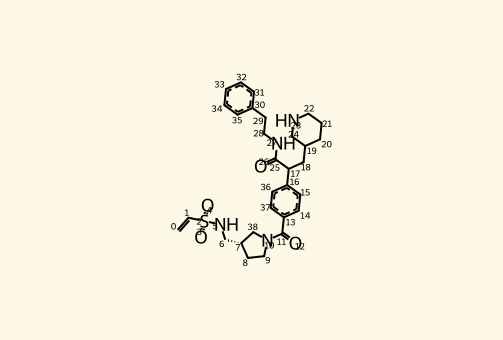 C=CS(=O)(=O)NC[C@H]1CCN(C(=O)c2ccc(C(CC3CCCNC3)C(=O)NCCc3ccccc3)cc2)C1